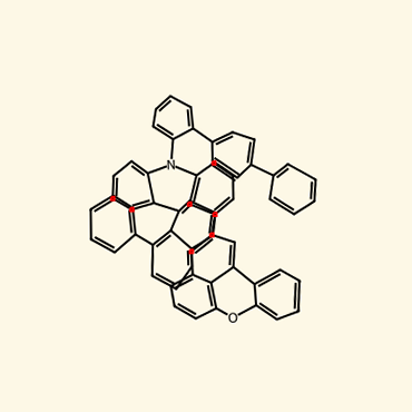 c1c(-c2ccccc2)ccc(-c2ccccc2N(C2=CC(c3cc4c5c(cccc5c3)Oc3ccccc3-4)=CCC2)c2ccccc2-c2cccc3cccc(-c4ccccc4)c23)c#1